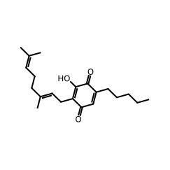 CCCCCC1=CC(=O)C(C/C=C(\C)CCC=C(C)C)=C(O)C1=O